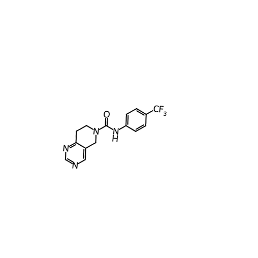 O=C(Nc1ccc(C(F)(F)F)cc1)N1CCc2ncncc2C1